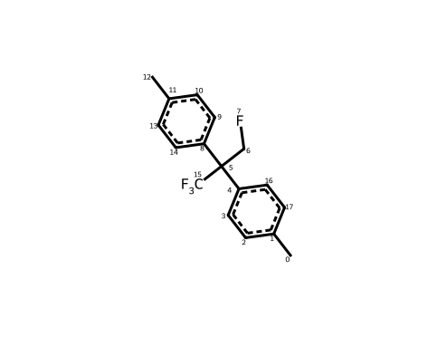 Cc1ccc(C(CF)(c2ccc(C)cc2)C(F)(F)F)cc1